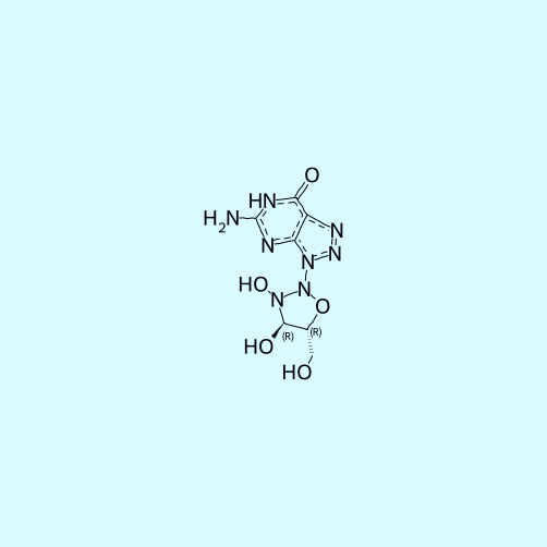 Nc1nc2c(nnn2N2O[C@H](CO)[C@@H](O)N2O)c(=O)[nH]1